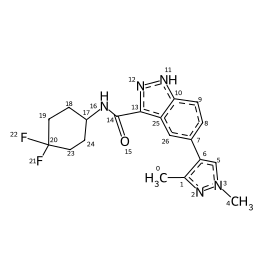 Cc1nn(C)cc1-c1ccc2[nH]nc(C(=O)NC3CCC(F)(F)CC3)c2c1